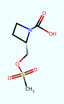 CS(=O)(=O)OC[C@@H]1CCN1C(=O)O